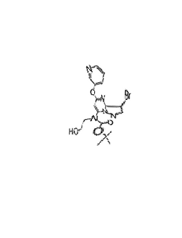 CC(C)(C)OC(=O)N(CCO)c1cc(Oc2cccnc2)nc2c(Br)cnn12